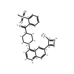 CS(=O)(=O)c1ccccc1C(=O)C1CCN(c2ccnc3ccc(C4=CN=C4C(F)(F)F)cc23)CC1